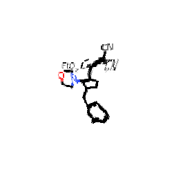 CCOC(=O)C(=C(C#N)C#N)C1=C(N2CCOCC2)C(=Cc2ccccc2)CC1